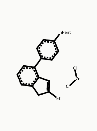 CCCCCc1ccc(-c2cccc3c2C=C(CC)[CH]3)cc1.[Cl][Zr][Cl]